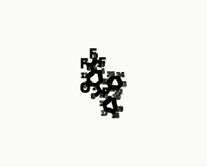 CC(C1C=CC(C(F)=C(F)F)=CC1=O)P(c1ccccc1)c1ccccc1